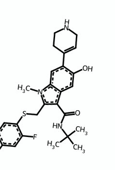 Cn1c(CSc2ccc(F)cc2F)c(C(=O)NC(C)(C)C)c2cc(O)c(C3=CCNCC3)cc21